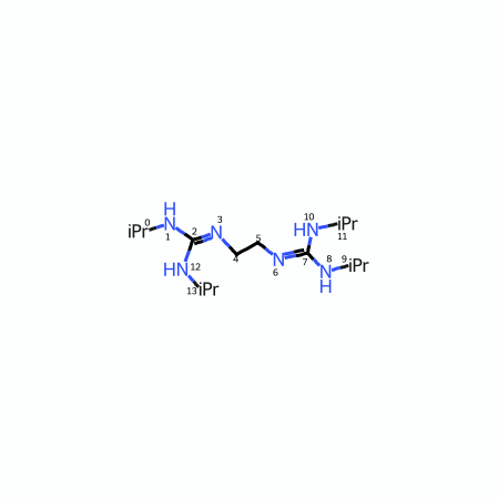 CC(C)NC(=NCCN=C(NC(C)C)NC(C)C)NC(C)C